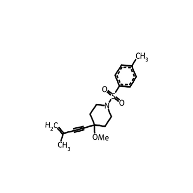 C=C(C)C#CC1(OC)CCN(S(=O)(=O)c2ccc(C)cc2)CC1